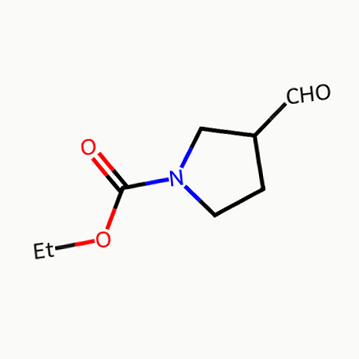 CCOC(=O)N1CCC(C=O)C1